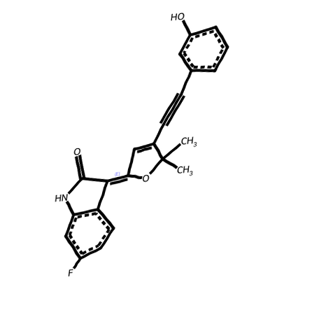 CC1(C)O/C(=C2/C(=O)Nc3cc(F)ccc32)C=C1C#Cc1cccc(O)c1